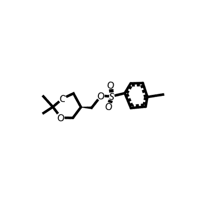 Cc1ccc(S(=O)(=O)OC[C@@H]2CCC(C)(C)OC2)cc1